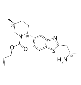 C=CCOC(=O)N1C[C@@H](C)CC[C@@H]1c1ccc2sc(C[C@H](C)N)nc2c1